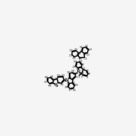 CC12C=CC=CC1c1cc([C@H]3Cc4ccccc4C4=C3CCC=C4)ccc1N2c1ccc2c(c1)c1ccccc1n2C1=CC2Sc3ccccc3C2C=C1